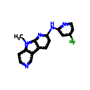 Cn1c2ccncc2c2ccc(Nc3cc([18F])ccn3)nc21